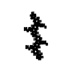 Cn1c2ccc(-c3ccc4c(c3)c3cc5c(cc3n4C)c3cc(-c4cccs4)ccc3n5C)cc2c2cc3c(cc21)c1cc(-c2cccs2)ccc1n3C